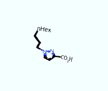 CCCCCCCCCn1ccc(C(=O)O)n1